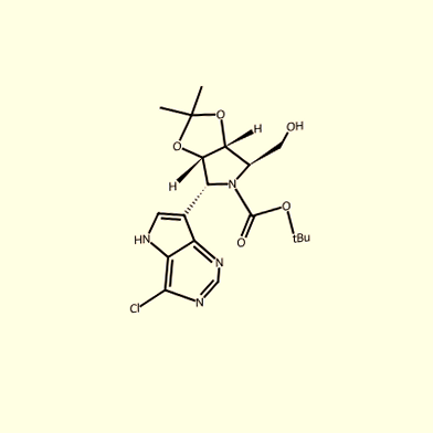 CC(C)(C)OC(=O)N1[C@H](CO)[C@H]2OC(C)(C)O[C@H]2[C@H]1c1c[nH]c2c(Cl)ncnc12